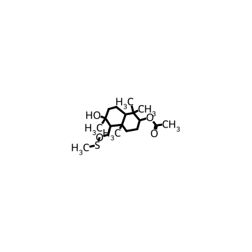 CSOCC1C(C)(O)CCC2C(C)(C)C(OC(C)=O)CCC12C